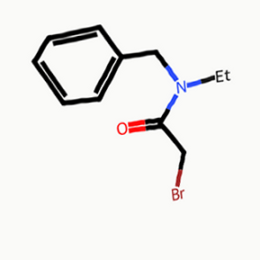 CCN(Cc1ccccc1)C(=O)CBr